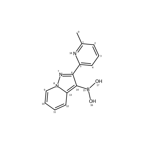 Cc1cccc(-c2nn3ccccc3c2B(O)O)n1